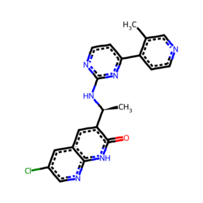 Cc1cnccc1-c1ccnc(N[C@@H](C)c2cc3cc(Cl)cnc3[nH]c2=O)n1